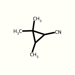 CC1C(C#N)C1(C)C